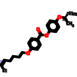 CC/C=C\CCCCOc1ccc(C(=O)Oc2ccc(O[C@@H](C)CCCCCC)cc2)cc1